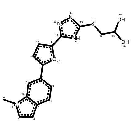 Cn1ccc2ccc(-c3ccc(-c4nnc(SCC(O)O)[nH]4)o3)cc21